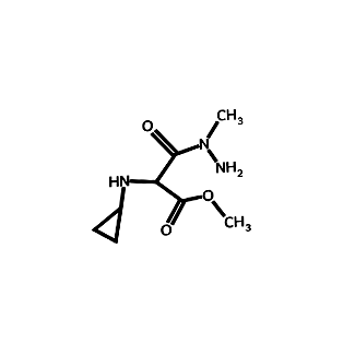 COC(=O)C(NC1CC1)C(=O)N(C)N